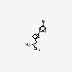 CN(C)CC12CC(C1)C(n1cc(Br)cn1)C2